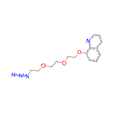 [N-]=[N+]=NCCOCCOCCOc1cccc2cccnc12